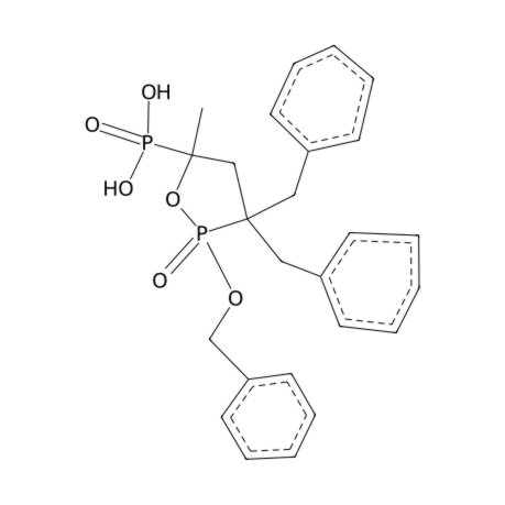 CC1(P(=O)(O)O)CC(Cc2ccccc2)(Cc2ccccc2)P(=O)(OCc2ccccc2)O1